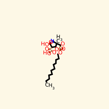 CCCCCCCCCCCCOS(=O)(=O)C(=O)C(C)(C#N)CC(C(=O)O)S(=O)(=O)O